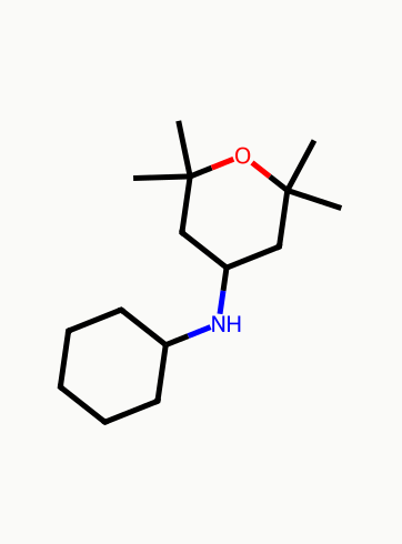 CC1(C)CC(NC2CCCCC2)CC(C)(C)O1